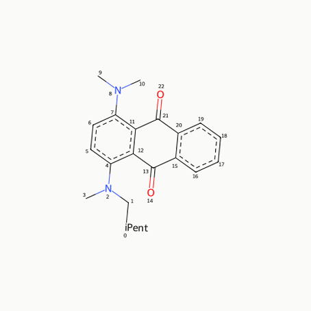 CCCC(C)CN(C)c1ccc(N(C)C)c2c1C(=O)c1ccccc1C2=O